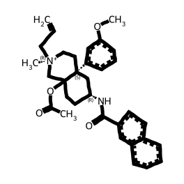 C=CC[N@@+]1(C)CC[C@@]2(c3cccc(OC)c3)C[C@H](NC(=O)c3ccc4ccccc4c3)CCC2(OC(C)=O)C1